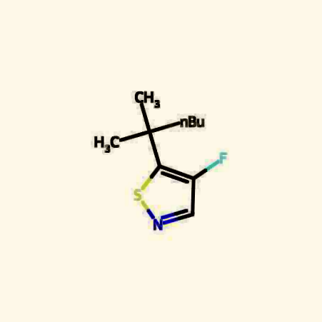 CCCCC(C)(C)c1sncc1F